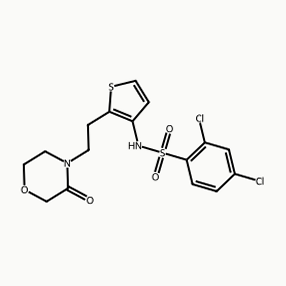 O=C1COCCN1CCc1sccc1NS(=O)(=O)c1ccc(Cl)cc1Cl